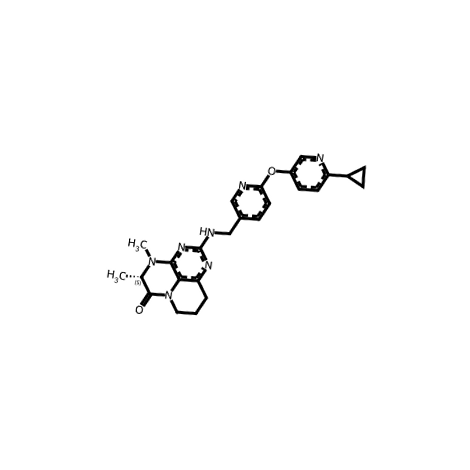 C[C@H]1C(=O)N2CCCc3nc(NCc4ccc(Oc5ccc(C6CC6)nc5)nc4)nc(c32)N1C